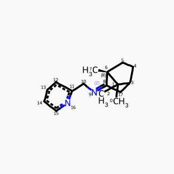 CC1(C)C2CC[C@@]1(C)/C(=N\Cc1ccccn1)C2